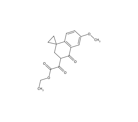 CCOC(=O)C(=O)C1CC2(CC2)c2ccc(OC)cc2C1=O